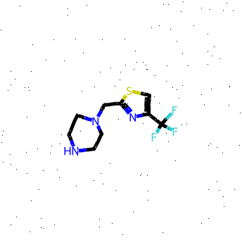 FC(F)(F)c1csc(CN2CCNCC2)n1